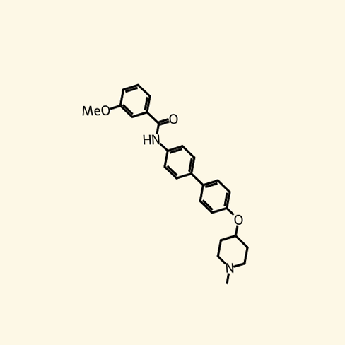 COc1cccc(C(=O)Nc2ccc(-c3ccc(OC4CCN(C)CC4)cc3)cc2)c1